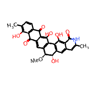 CO[C@H]1c2cc3c(c(O)c2-c2c(cc4cc(C)[nH]c(=O)c4c2O)[C@@H]1O)C(=O)c1ccc(C)c(O)c1C3=O